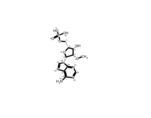 CO[C@H]1[C@@H](S)[C@@H](COP(=O)(O)O)O[C@H]1n1cnc2c(N)ncnc21